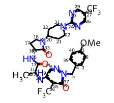 COc1ccc(Cn2ncc(N[C@@H](C)C(=O)N[C@@H]3CCN(C4CCN(c5ncc(C(F)(F)F)cn5)CC4)C3=O)c(C(F)(F)F)c2=O)cc1